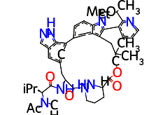 CCn1c(-c2cccnc2[C@H](C)OC)c2c3cc(ccc31)-c1cc(cc3cn[nH]c13)C[C@H](NC(=O)[C@H](C(C)C)N(C)C(C)=O)C(=O)N1CCC[C@H](N1)C(=O)OCC(C)(C)C2